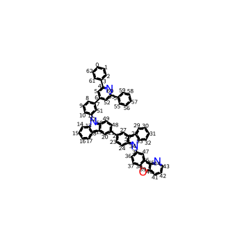 c1ccc(-c2cc(-c3cccc(-n4c5ccccc5c5cc(-c6ccc7c(c6)c6ccccc6n7-c6ccc7oc8cccnc8c7c6)ccc54)c3)cc(-c3ccccc3)n2)cc1